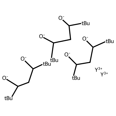 CC(C)(C)C([O-])CC([O-])C(C)(C)C.CC(C)(C)C([O-])CC([O-])C(C)(C)C.CC(C)(C)C([O-])CC([O-])C(C)(C)C.[Y+3].[Y+3]